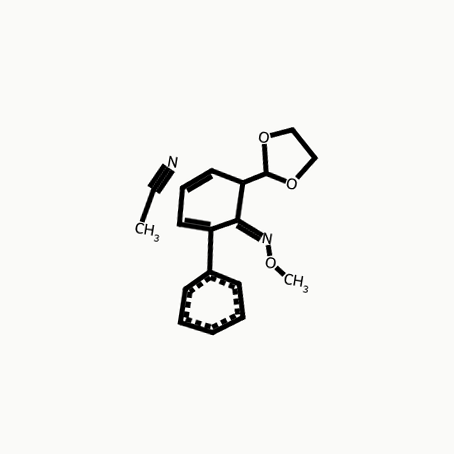 CC#N.CON=C1C(c2ccccc2)=CC=CC1C1OCCO1